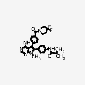 C=C(C)C(=O)Nc1ccc(-c2c(-c3ccc(C(=O)N4CCC(F)(F)CC4)cc3)c3c(N)ncnc3n2C)cc1